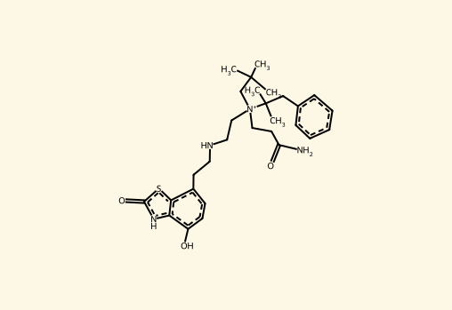 CC(C)(C)C[N+](CCNCCc1ccc(O)c2[nH]c(=O)sc12)(CCC(N)=O)C(C)(C)Cc1ccccc1